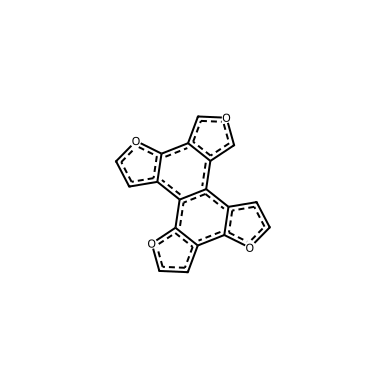 c1cc2c(o1)c1ccoc1c1c3ccoc3c3cocc3c21